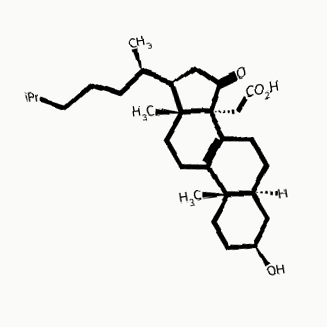 CC(C)CCC[C@@H](C)[C@H]1CC(=O)[C@@]2(CC(=O)O)C3=C(CC[C@]12C)[C@@]1(C)CC[C@H](O)C[C@@H]1CC3